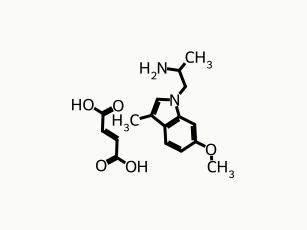 COc1ccc2c(C)cn(CC(C)N)c2c1.O=C(O)C=CC(=O)O